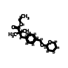 CCOC(=O)C(C)(C)Cc1ccc(COC2CCCCO2)cc1